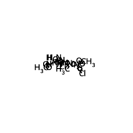 CC[C@H]1CN(c2nc(N)c(C(=O)NCCNS(C)(=O)=O)nc2Cl)CCN1C1CCN([C@H](C(=O)OC)c2ccc(Cl)cc2)CC1